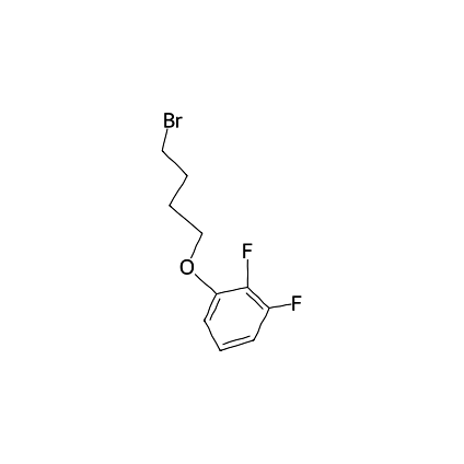 Fc1cccc(OCCCCBr)c1F